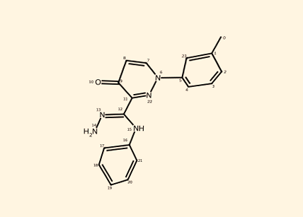 Cc1cccc(-n2ccc(=O)c(/C(=N/N)Nc3ccccc3)n2)c1